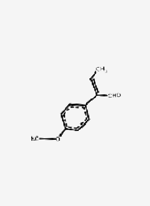 CC=C(C=O)c1ccc(OC#N)cc1